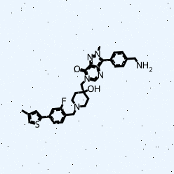 Cc1csc(-c2ccc(CN3CCC(O)(Cn4cnc5c(-c6ccc(CN)cc6)n(C)nc5c4=O)CC3)c(F)c2)c1